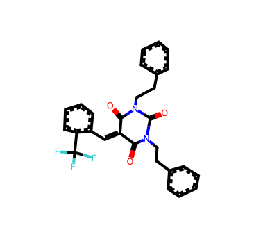 O=C1C(=Cc2ccccc2C(F)(F)F)C(=O)N(CCc2ccccc2)C(=O)N1CCc1ccccc1